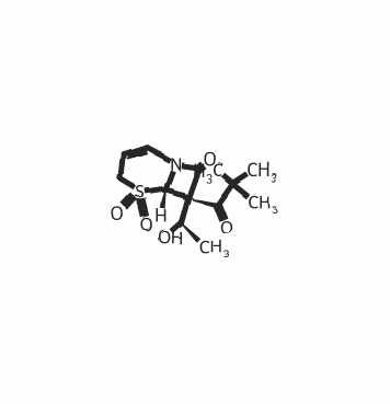 C[C@@H](O)[C@@]1(C(=O)C(C)(C)C)C(=O)N2C=CCS(=O)(=O)[C@H]21